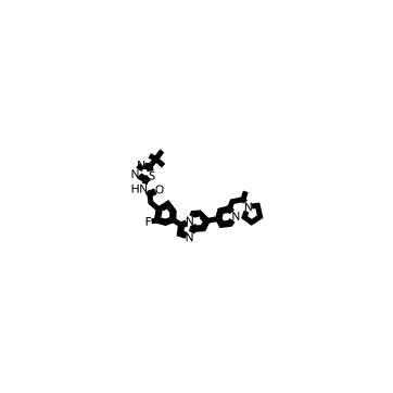 CC(Cc1cc(-c2ccn3c(-c4ccc(CC(=O)Nc5nnc(C(C)(C)C)s5)c(F)c4)cnc3c2)ccn1)N1CCCC1